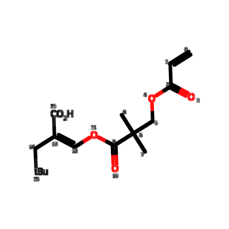 C=CC(=O)OCC(C)(C)C(=O)OC=C(CC(C)(C)C)C(=O)O